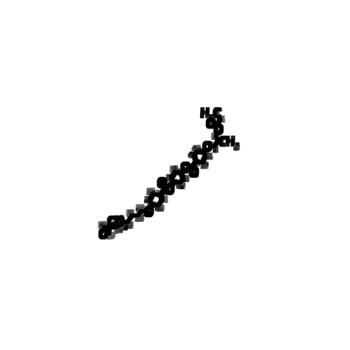 C=CC(=O)OCC(C)COc1ccc(C(=O)Oc2ccc(OC(=O)c3ccc(OCCCCOCC4(C)COC4)cc3)cc2)cc1